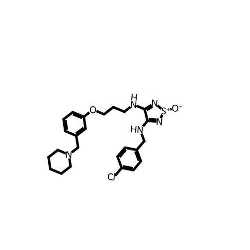 [O-][s+]1nc(NCCCOc2cccc(CN3CCCCC3)c2)c(NCc2ccc(Cl)cc2)n1